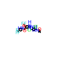 CC(C)(C)C(=O)NCc1ccc(Cl)c(Nc2nc3cc(C(=O)NC4CCC(C(F)(F)F)CC4)c(OC(F)F)cc3[nH]2)c1Cl